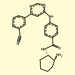 N#Cc1cccc(-c2cc(Nc3ccc(C(=O)N[C@H]4CCCC[C@@H]4N)cc3)ncn2)c1